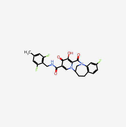 Cc1cc(F)c(CNC(=O)c2cn3c(c(O)c2=O)C(=O)N2CC3CCc3ccc(F)cc32)c(F)c1